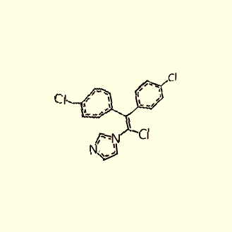 ClC(=C(c1ccc(Cl)cc1)c1ccc(Cl)cc1)n1ccnc1